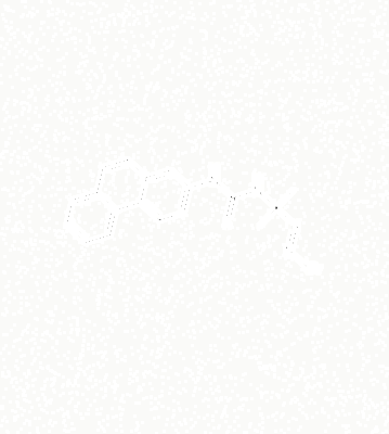 CC(C)N=NC(C)(C)NC(=S)Nc1ccc2c(ccc3ccccc32)c1